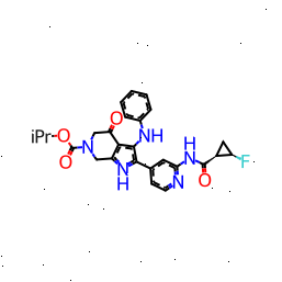 CC(C)OC(=O)N1CC(=O)c2c([nH]c(-c3ccnc(NC(=O)[C@H]4C[C@H]4F)c3)c2Nc2ccccc2)C1